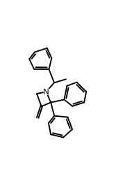 C=C1CN(C(C)c2ccccc2)C1(c1ccccc1)c1ccccc1